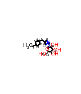 CCc1ccc(Cc2cnn(C3O[C@H](CO)[C@@H](O)C(O)[C@H]3O)c2)cc1